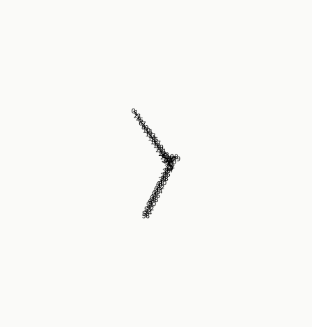 CCCCCCCCCCCCCCCCCCCCCCCCSc1cc(CC)cc(SCCCCCCCCCCCCCCCCCCCCCCCC)c1